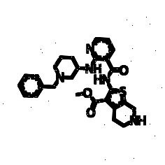 COC(=O)c1c(NC(=O)c2cccnc2NC2CCCN(Cc3ccccc3)C2)sc2c1CCNC2